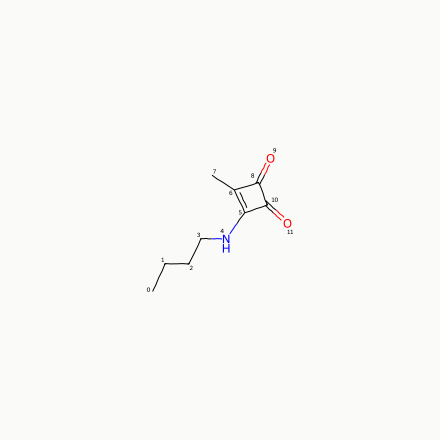 CCCCNc1c(C)c(=O)c1=O